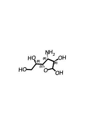 N[C@H]1[C@@H]([C@H](O)CO)OC(O)[C@@H]1O